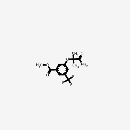 COC(=O)c1cc(OC(C)(C)C(N)=O)cc(C(F)(F)F)c1